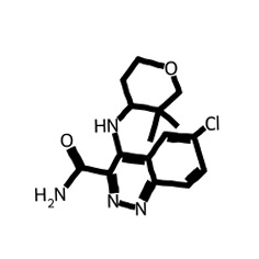 CC1(C)COCCC1Nc1c(C(N)=O)nnc2ccc(Cl)cc12